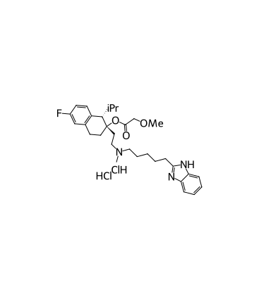 COCC(=O)O[C@]1(CCN(C)CCCCCc2nc3ccccc3[nH]2)CCc2cc(F)ccc2[C@@H]1C(C)C.Cl.Cl